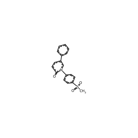 CS(=O)(=O)c1ccc(-n2cc(-c3ccccc3)ccc2=O)cc1